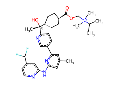 Cc1cc(Nc2cc(C(F)F)ccn2)nc(-c2ccc([C@](C)(O)[C@H]3CC[C@H](C(=O)OC[N+](C)(C)C(C)C)CC3)nc2)c1